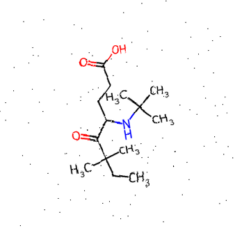 CCC(C)(C)C(=O)C(CCC(=O)O)NC(C)(C)C